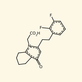 O=C(O)Cn1c(CCc2cccc(F)c2F)cc(=O)c2c1CCCC2